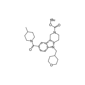 CC1CCN(C(=O)c2ccc3c(c2)c2c(n3CC3CCOCC3)CCN(C(=O)OC(C)(C)C)C2)CC1